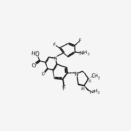 C[C@H]1CN(c2cc3c(cc2F)c(=O)c(C(=O)O)cn3-c2cc(N)c(F)cc2F)C[C@@H]1N